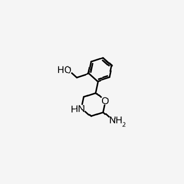 NC1CNCC(c2ccccc2CO)O1